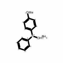 B.COc1ccc(P(O)c2ccccc2)cc1